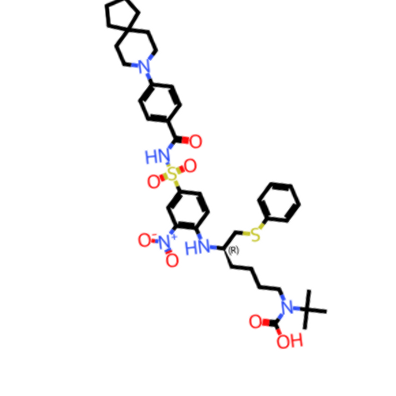 CC(C)(C)N(CCCC[C@H](CSc1ccccc1)Nc1ccc(S(=O)(=O)NC(=O)c2ccc(N3CCC4(CCCC4)CC3)cc2)cc1[N+](=O)[O-])C(=O)O